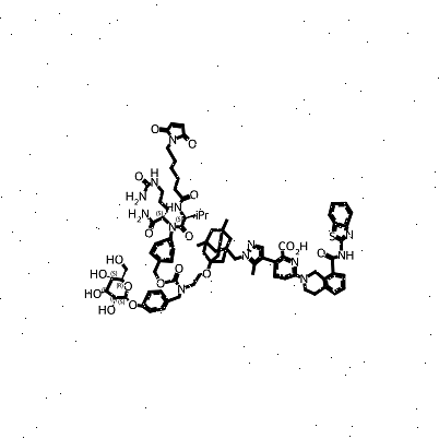 Cc1c(-c2ccc(N3CCc4cccc(C(=O)Nc5nc6ccccc6s5)c4C3)nc2C(=O)O)cnn1CC12CC3(C)CC(C)(C1)CC(OCCN(Cc1ccc(O[C@@H]4O[C@H](CO)[C@@H](O)[C@@H](O)[C@H]4O)cc1)C(=O)OCc1ccc(N(C(=O)[C@@H](NC(=O)CCCCCN4C(=O)C=CC4=O)C(C)C)[C@@H](CCCNC(N)=O)C(N)=O)cc1)(C3)C2